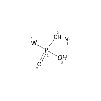 O=[P](O)(O)[W].[V]